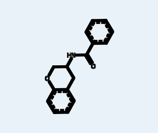 O=C(NC1COc2ccccc2C1)c1ccccc1